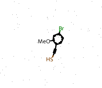 COc1cc(Br)ccc1C#CS